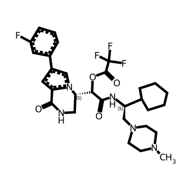 CN1CCN(C[C@@H](NC(=O)C(OC(=O)C(F)(F)F)[C@@H]2CNC(=O)c3cc(-c4cccc(F)c4)cn32)C2CCCCC2)CC1